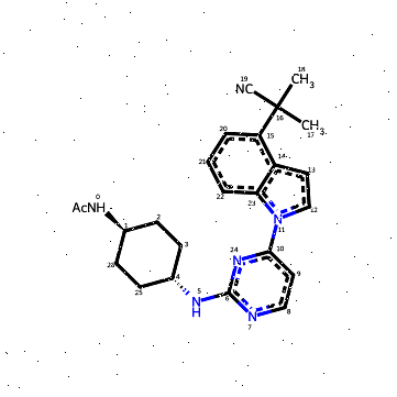 CC(=O)N[C@H]1CC[C@H](Nc2nccc(-n3ccc4c(C(C)(C)C#N)cccc43)n2)CC1